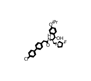 CC(C)Oc1ccc([C@H](O)[C@@H](CN2CC[C@@H](F)C2)NC(=O)Cc2ccc(-c3ccc(Cl)cc3)cc2)cc1